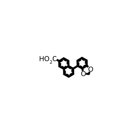 O=C(O)c1ccc2c(-c3cccc4c3OCO4)cccc2c1